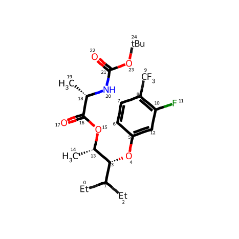 CCC(CC)[C@@H](Oc1ccc(C(F)(F)F)c(F)c1)[C@H](C)OC(=O)[C@H](C)NC(=O)OC(C)(C)C